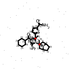 Cc1nnc(C(C)C)n1C1CC2CCC(C1)N2CC[C@H](NC(=O)C1CCCCC1)c1ccc(C(N)=O)s1